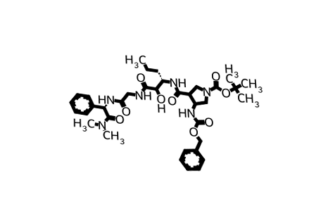 CCC[C@H](NC(=O)C1CN(C(=O)OC(C)(C)C)CC1NC(=O)OCc1ccccc1)C(O)C(=O)NCC(=O)N[C@H](C(=O)N(C)C)c1ccccc1